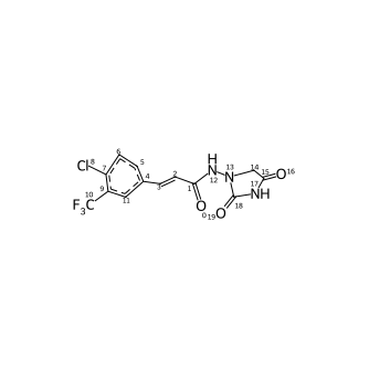 O=C(/C=C/c1ccc(Cl)c(C(F)(F)F)c1)NN1CC(=O)NC1=O